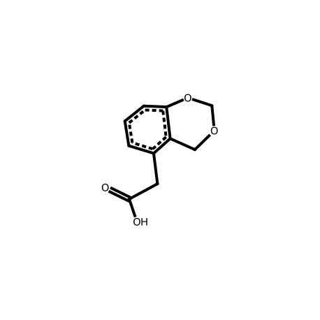 O=C(O)Cc1cccc2c1COCO2